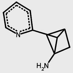 NC12CC(C1)C2c1ccccn1